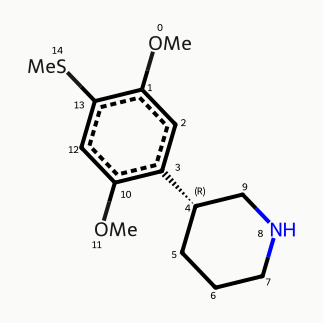 COc1cc([C@H]2CCCNC2)c(OC)cc1SC